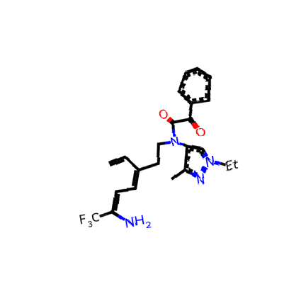 C=C/C(=C\C=C(/N)C(F)(F)F)CCN(C(=O)C(=O)c1ccccc1)c1cn(CC)nc1C